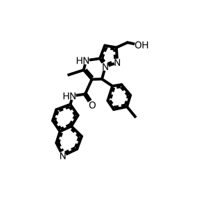 CC1=C(C(=O)Nc2ccc3cnccc3c2)C(c2ccc(C)cc2)n2nc(CO)cc2N1